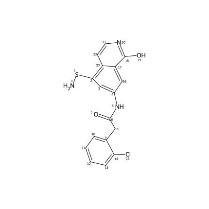 NSc1cc(NC(=O)Cc2ccccc2Cl)cc2c(O)nccc12